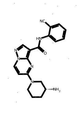 N#Cc1ccccc1NC(=O)c1cnn2ccc(N3CCC[C@@H](N)C3)nc12